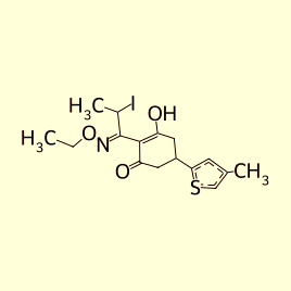 CCON=C(C1=C(O)CC(c2cc(C)cs2)CC1=O)C(C)I